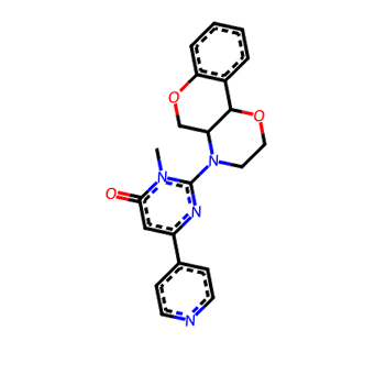 Cn1c(N2CCOC3c4ccccc4OCC32)nc(-c2ccncc2)cc1=O